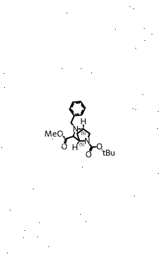 COC(=O)C1[C@@H]2C[C@@H](CN2C(=O)OC(C)(C)C)N1Cc1ccccc1